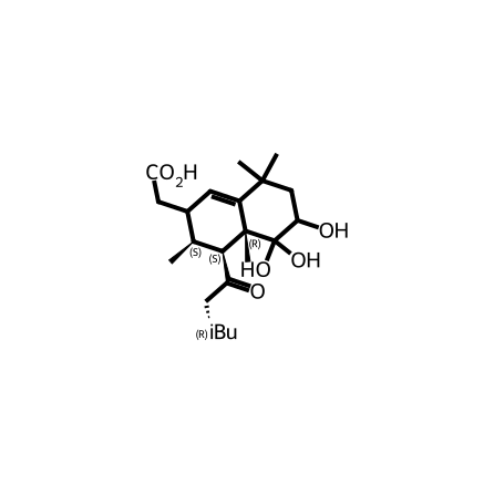 CC[C@@H](C)CC(=O)[C@H]1[C@@H](C)C(CC(=O)O)C=C2C(C)(C)CC(O)C(O)(O)[C@@]21C